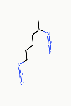 CC(CCCCN=[N+]=[N-])N=[N+]=[N-]